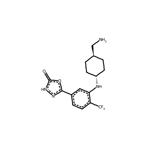 NC[C@H]1CC[C@H](Nc2cc(-c3n[nH]c(=O)o3)ccc2C(F)(F)F)CC1